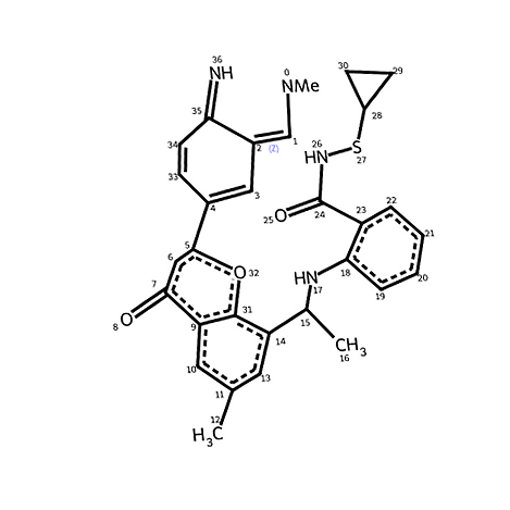 CN/C=C1/C=C(c2cc(=O)c3cc(C)cc(C(C)Nc4ccccc4C(=O)NSC4CC4)c3o2)C=CC1=N